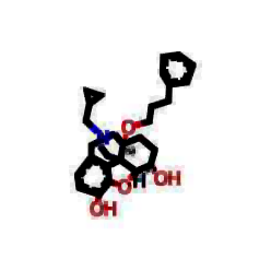 Oc1ccc2c3c1O[C@H]1[C@H](O)CC[C@@]4(OCCCc5ccccc5)C(C2)N(CC2CC2)CCC314